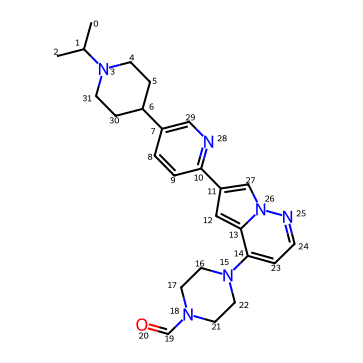 CC(C)N1CCC(c2ccc(-c3cc4c(N5CCN(C=O)CC5)ccnn4c3)nc2)CC1